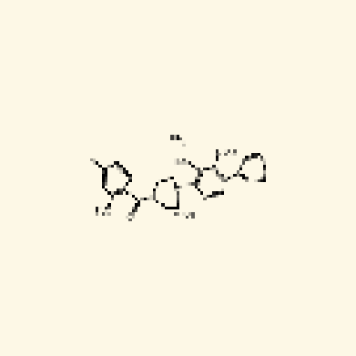 CC[C@@H]1CN(C(=O)c2ccc(Cl)cc2C(F)(F)F)CCN1c1ccc(-c2ccccc2)c(OC)c1C.N